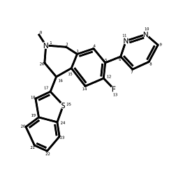 CN1Cc2cc(-c3cccnn3)c(F)cc2C(c2cc3ccccc3s2)C1